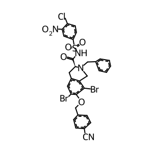 N#Cc1ccc(COc2c(Br)cc3c(c2Br)CN(Cc2ccccc2)[C@H](C(=O)NS(=O)(=O)c2ccc(Cl)c([N+](=O)[O-])c2)C3)cc1